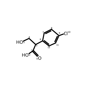 O=C(O)C(CO)c1ccc(Cl)cc1